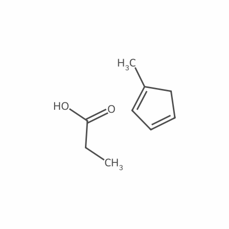 CC1=CC=CC1.CCC(=O)O